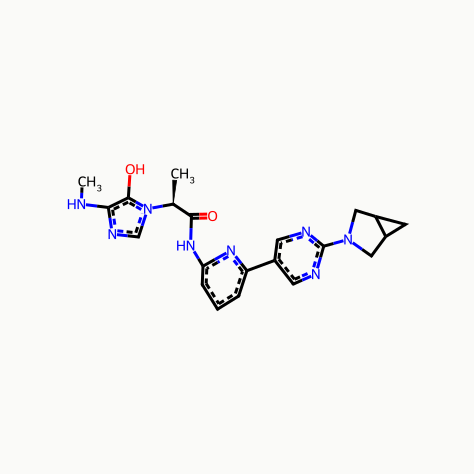 CNc1ncn([C@@H](C)C(=O)Nc2cccc(-c3cnc(N4CC5CC5C4)nc3)n2)c1O